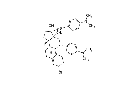 CN(C)c1ccc(C#C[C@]2(O)CC[C@H]3[C@@H]4CCC5=C[C@@H](O)CCC5=C4[C@@H](c4ccc(N(C)C)cc4)C[C@@]32C)cc1